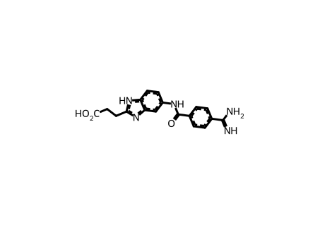 N=C(N)c1ccc(C(=O)Nc2ccc3[nH]c(CCC(=O)O)nc3c2)cc1